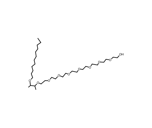 CCCCCCCCCCCCOC(C)C(C)OCCOCCOCCOCCOCCOCCOCCOCCO